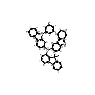 CC1(C)c2ccccc2-c2cccc(N(c3ccc4oc5ccccc5c4c3)c3ccc4c5ccccc5n(-c5ccccc5)c4c3)c21